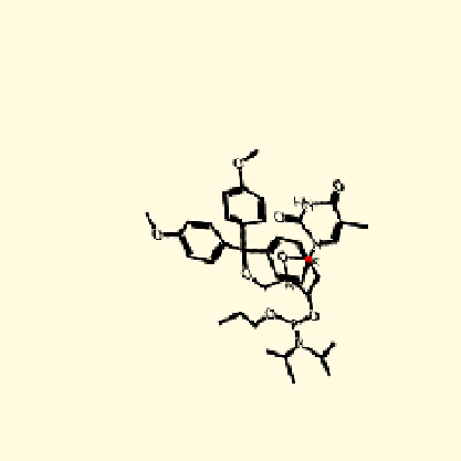 CCCOP(OC1C[C@H](n2cc(C)c(=O)[nH]c2=O)O[C@@H]1COC(c1ccccc1)(c1ccc(OC)cc1)c1ccc(OC)cc1)N(C(C)C)C(C)C